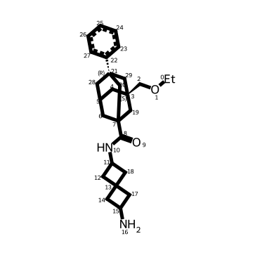 CCOC[C@]12CC3CC(C(=O)NC4CC5(CC(N)C5)C4)(C1)C[C@@](c1ccccc1)(C3)C2